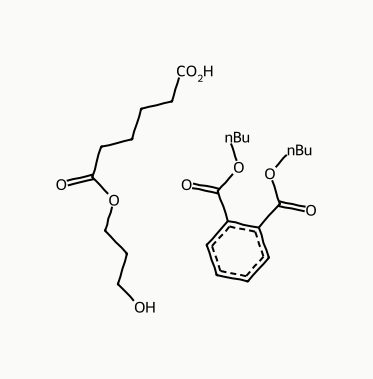 CCCCOC(=O)c1ccccc1C(=O)OCCCC.O=C(O)CCCCC(=O)OCCCO